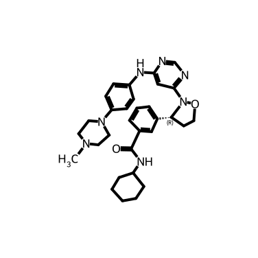 CN1CCN(c2ccc(Nc3cc(N4OCC[C@@H]4c4cccc(C(=O)NC5CCCCC5)c4)ncn3)cc2)CC1